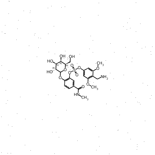 CNC(=O)c1ccc(OC2O[C@H](CO)[C@H](O)[C@H](O)[C@H]2O)c(OS(=O)(=O)Oc2cc(OC)c(CN)c(OC)c2)c1